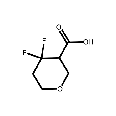 O=C(O)C1COCCC1(F)F